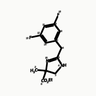 CCOC(=O)C1(C)CNC(Cc2cc(F)cc(F)c2)=N1